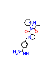 C[C@H](N)C(=O)N(C(=O)[C@@H]1CCCN1Cc1ccc(C(=N)N)cc1)C1CCCCC1